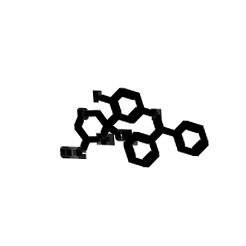 CC1(c2cc(N=C(c3ccccc3)c3ccccc3)ccc2F)COCC(C=O)N1